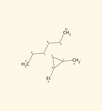 [CH2]C1CC1CC.[CH2]CCCCC